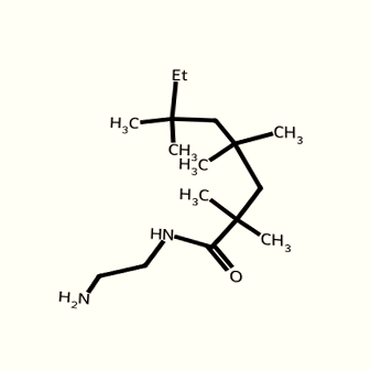 CCC(C)(C)CC(C)(C)CC(C)(C)C(=O)NCCN